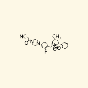 C[C@@H]1CC(c2ccccc2)S(=O)(=O)N(Cc2ccc(N3CCN(C(=O)CC#N)CC3)cc2F)C1